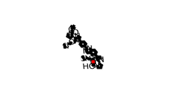 CC(C)(C)OC(=O)N1CCC[C@H]1c1ncc(-c2ccc(-c3ncc4cc(-c5cnc([C@@H]6CCCN6C(=O)O)n5COCC[Si](C)(C)C)ccc4n3)cc2)n1COCC[Si](C)(C)C